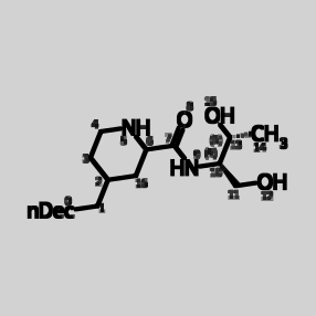 CCCCCCCCCCCC1CCNC(C(=O)N[C@H](CO)[C@@H](C)O)C1